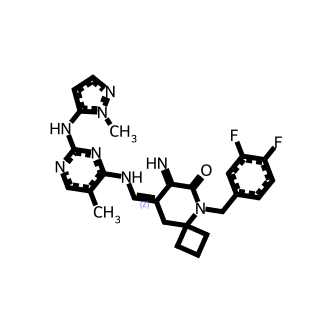 Cc1cnc(Nc2ccnn2C)nc1N/C=C1/CC2(CCC2)N(Cc2ccc(F)c(F)c2)C(=O)C1=N